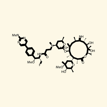 CNc1ncc(-c2ccc([C@@H](OC)[C@@H](CF)NC(=O)CCN(C)[C@@H]3C[C@H](O[C@@H]4[C@@H](C)C([C@H]5C[C@@](C)(OC)[C@@H](O)[C@H](C)O5)[C@@H](C)C(=O)O[C@H](I)[C@@](C)(O)[C@H](O)[C@@H](C)C(=N)[C@H](C)C[C@@]4(C)OC)O[C@H](C)C3)cc2)cn1